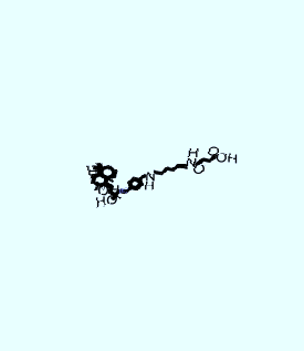 CC1(C)CCC[C@]2(C)C(=CC[C@@](C)(O)/C=C/c3ccc(CNCCCCCCNC(=O)CCC(=O)O)cc3)[C@](C)(O)CC[C@@H]12